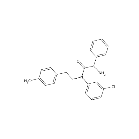 Cc1ccc(CCN(C(=O)C(N)c2ccccc2)c2cccc(Cl)c2)cc1